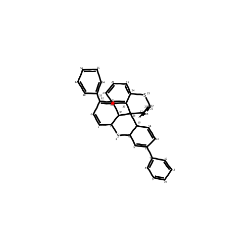 C1=CC2SC3C=C(c4ccccc4)C=CC3C3(c4ccccc4Sc4ccccc43)C2C=C1c1ccccc1